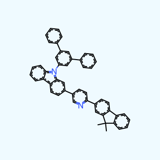 CC1(C)c2ccccc2-c2ccc(-c3ccc(-c4ccc5c6ccccc6n(-c6cc(-c7ccccc7)cc(-c7ccccc7)c6)c5c4)cn3)cc21